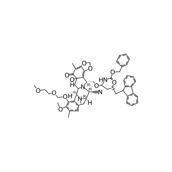 COCCOCOc1c(OC)c(C)cc2c1[C@H]1C3CC4(O)C(=O)C(C)=C5OCOC5=C4[C@H](COC(CSCC4c5ccccc5-c5ccccc54)NC(=O)OCc4ccccc4)N3[C@@H](C#N)[C@@H](C2)N1C